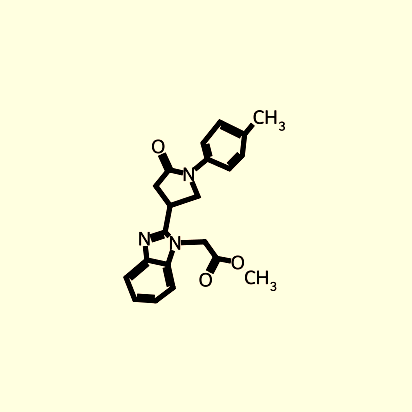 COC(=O)Cn1c(C2CC(=O)N(c3ccc(C)cc3)C2)nc2ccccc21